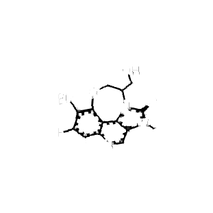 Cn1c(=O)n2c3c4c(c(Br)c(F)cc4ncc31)OCC2CO